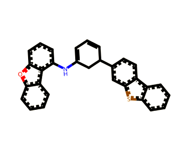 C1=CC(c2ccc3c(c2)sc2ccccc23)CC(Nc2cccc3oc4ccccc4c23)=C1